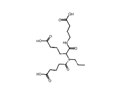 CCCN(C(=O)CCCC(=O)O)C(CCCC(=O)O)C(=O)NCCCC(=O)O